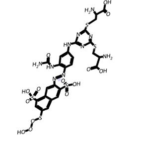 NC(=O)Nc1cc(Nc2nc(SCC(N)C(=O)O)nc(SCC(N)C(=O)O)n2)ccc1/N=N/c1cc2c(S(=O)(=O)O)cc(SOOO)cc2cc1S(=O)(=O)O